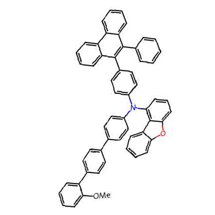 COc1ccccc1-c1ccc(-c2ccc(N(c3ccc(-c4c(-c5ccccc5)c5ccccc5c5ccccc45)cc3)c3cccc4oc5ccccc5c34)cc2)cc1